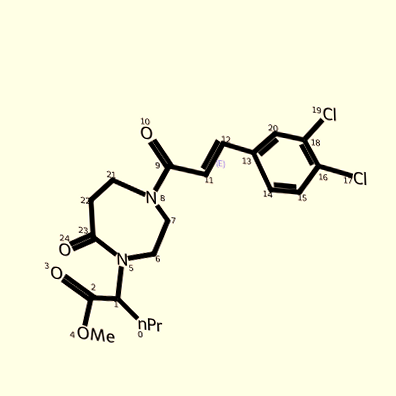 CCCC(C(=O)OC)N1CCN(C(=O)/C=C/c2ccc(Cl)c(Cl)c2)CCC1=O